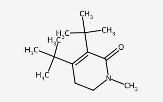 CN1CCC(C(C)(C)C)=C(C(C)(C)C)C1=O